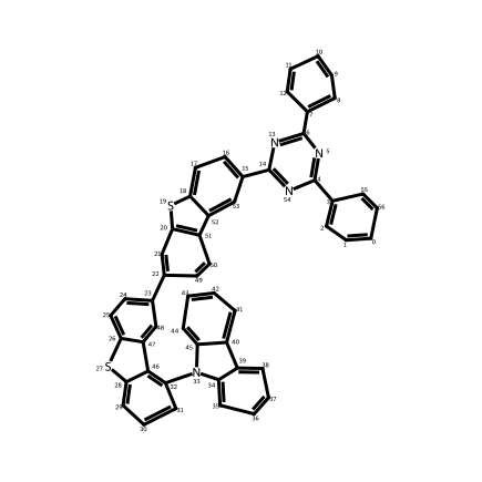 c1ccc(-c2nc(-c3ccccc3)nc(-c3ccc4sc5cc(-c6ccc7sc8cccc(-n9c%10ccccc%10c%10ccccc%109)c8c7c6)ccc5c4c3)n2)cc1